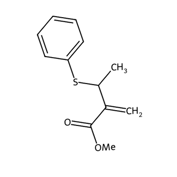 C=C(C(=O)OC)C(C)Sc1ccccc1